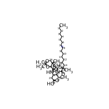 CCCCCCC/C=C/CCCCCCC(C)(C)C(=O)NC(CC)C(CC(=O)O)NC(=O)C1OC(C)(C)OCC1(C)C